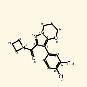 O=C(c1nn2c(c1-c1ccc(Cl)c(F)c1)OCCC2)N1CCC1